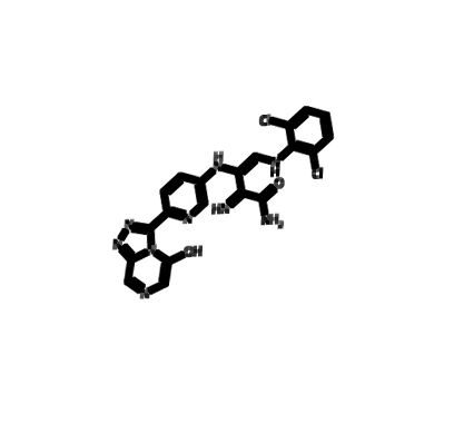 N=C(C(N)=O)/C(=C\Nc1c(Cl)cccc1Cl)Nc1ccc(-c2nnc3cncc(O)n23)nc1